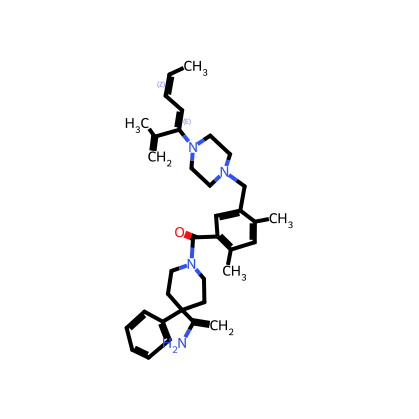 C=C(C)/C(=C\C=C/C)N1CCN(Cc2cc(C(=O)N3CCC(C(=C)N)(c4ccccc4)CC3)c(C)cc2C)CC1